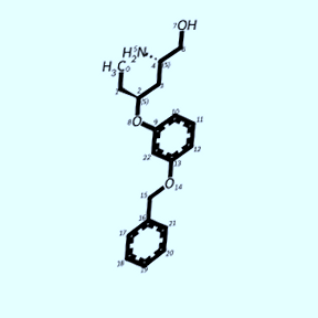 CC[C@@H](C[C@H](N)CO)Oc1cccc(OCc2ccccc2)c1